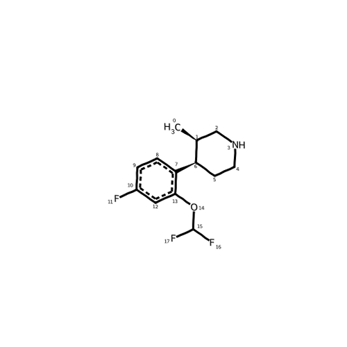 C[C@H]1CNCC[C@H]1c1ccc(F)cc1OC(F)F